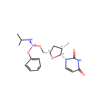 CC(C)N[P@@](OC[C@@H]1C[C@H](C)[C@H](n2ccc(=O)[nH]c2=O)O1)Oc1ccccc1